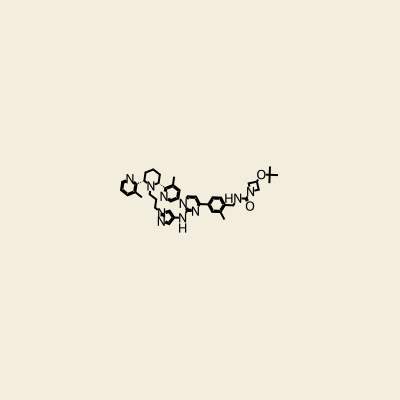 Cc1cc(-c2ccnc(Nc3cnn(CCCN4[C@@H](c5ncccc5C)CCC[C@H]4c4ncccc4C)c3)n2)ccc1CNC(=O)N1CC(OC(C)(C)C)C1